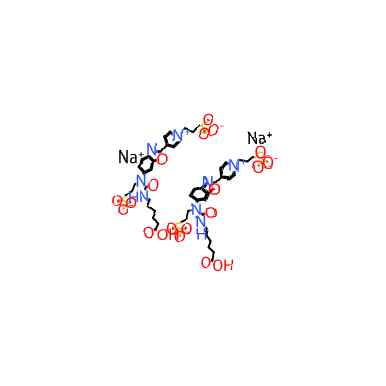 O=C(O)CCCCCNC(=O)N(CCCS(=O)(=O)[O-])c1ccc2nc(-c3cc[n+](CCCS(=O)(=O)[O-])cc3)oc2c1.O=C(O)CCCCCNC(=O)N(CCCS(=O)(=O)[O-])c1ccc2nc(-c3cc[n+](CCCS(=O)(=O)[O-])cc3)oc2c1.[Na+].[Na+]